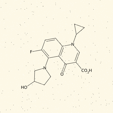 O=C(O)c1cn(C2CC2)c2ccc(F)c(N3CCC(O)C3)c2c1=O